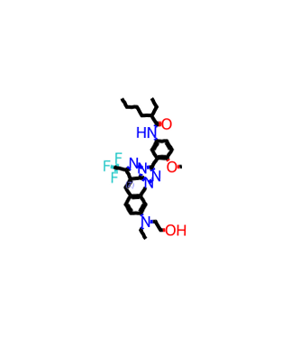 CCCCC(CC)C(=O)Nc1ccc(OC)c(-c2nnc3/c(=C\c4ccc(N(CC)CCO)cc4C)c(C(F)(F)F)nn23)c1